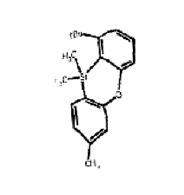 Cc1ccc2c(c1)Oc1cccc(C(C)(C)C)c1[Si]2(C)C